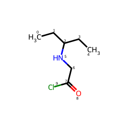 CCC(CC)NCC(=O)Cl